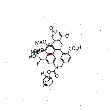 COc1ccc([C@H](Cc2c(Cl)c[n+]([O-])cc2Cl)c2cc(CN(C(=O)O[C@H]3CN4CCC3CC4)c3cccc(C(F)F)c3)ccc2C(=O)O)cc1OC.O=CO